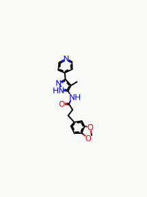 Cc1c(-c2ccncc2)n[nH]c1NC(=O)CCc1ccc2c(c1)OCO2